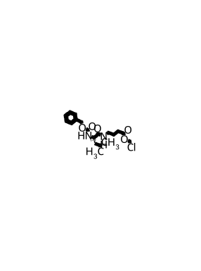 CC(C)C[C@H](NC(=O)OCc1ccccc1)C(=O)NCCCC(=O)OCCl